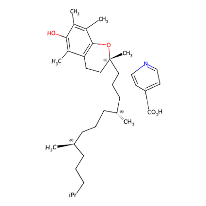 Cc1c(C)c2c(c(C)c1O)CC[C@@](C)(CCC[C@H](C)CCC[C@H](C)CCCC(C)C)O2.O=C(O)c1ccncc1